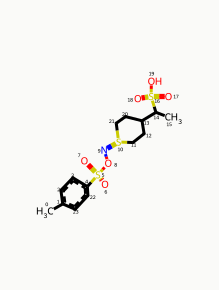 Cc1ccc(S(=O)(=O)ON=S2CCC(C(C)S(=O)(=O)O)CC2)cc1